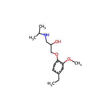 [CH2]Cc1ccc(OCC(O)CNC(C)C)c(OC)c1